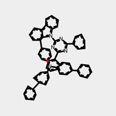 c1ccc(-c2ccc(N(c3ccc(-c4ccccc4)cc3)c3ccc(-c4cccc5c6ccccc6n(-c6nc(-c7ccccc7)nc(-c7ccccc7)n6)c45)cc3)cc2)cc1